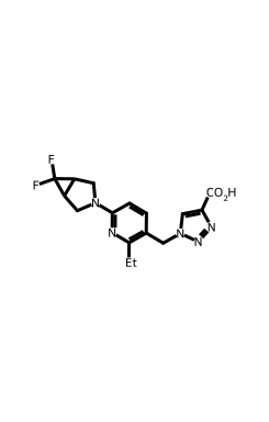 CCc1nc(N2CC3C(C2)C3(F)F)ccc1Cn1cc(C(=O)O)nn1